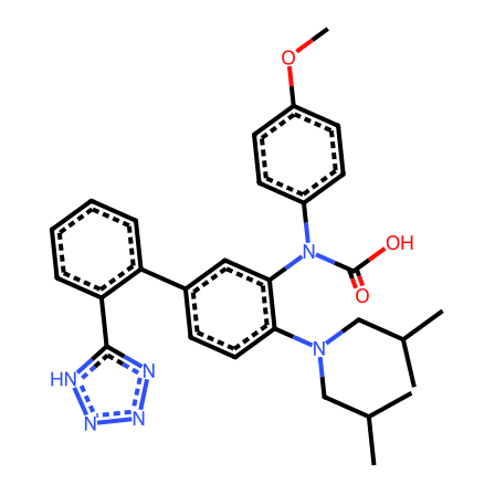 COc1ccc(N(C(=O)O)c2cc(-c3ccccc3-c3nnn[nH]3)ccc2N(CC(C)C)CC(C)C)cc1